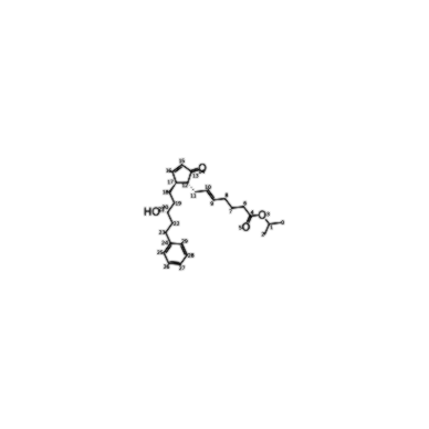 CC(C)OC(=O)CCCC=CC[C@H]1C(=O)C=C[C@@H]1CC[C@@H](O)CCc1ccccc1